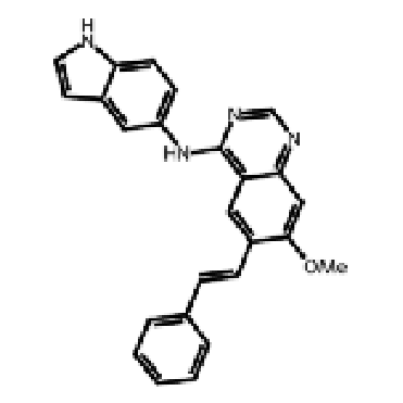 COc1cc2ncnc(Nc3ccc4[nH]ccc4c3)c2cc1C=Cc1ccccc1